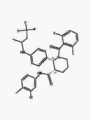 Cc1ccc(NC(=O)[C@H]2CCCN(C(=O)c3c(C)cccc3F)[C@H]2c2ccc(NC(C)CC(F)(F)F)cc2)cc1Cl